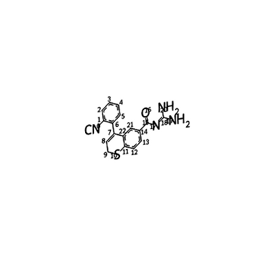 [C-]#[N+]c1ccccc1C1=CCSc2ccc(C(=O)N=C(N)N)cc21